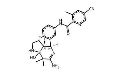 Cc1cc(C#N)cnc1C(=O)Nc1ccc(F)c([C@@]2(C)N=C(N)C(C)(C)S3(O)NCC[C@H]23)c1